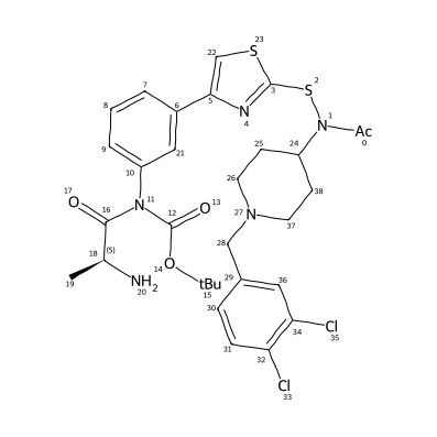 CC(=O)N(Sc1nc(-c2cccc(N(C(=O)OC(C)(C)C)C(=O)[C@H](C)N)c2)cs1)C1CCN(Cc2ccc(Cl)c(Cl)c2)CC1